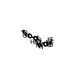 Cc1cc(C2CCN(C(=O)OC(C)(C)C)CC2)cc2c1OCc1c(ncnc1N1CCS(=O)(=NC(=O)C(F)(F)F)CC1)N2